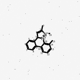 CC1=CC2c3ccccc3-c3cccc(C)c3[N+]2=[N+]1C